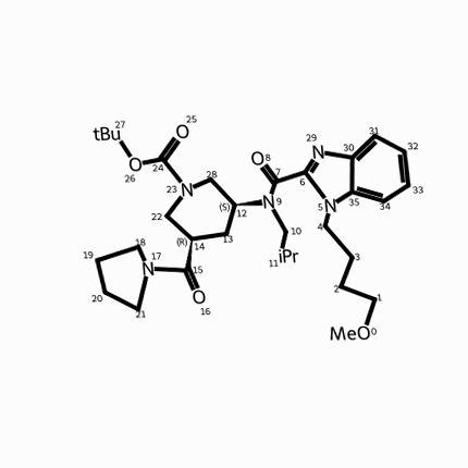 COCCCCn1c(C(=O)N(CC(C)C)[C@H]2C[C@@H](C(=O)N3CCCC3)CN(C(=O)OC(C)(C)C)C2)nc2ccccc21